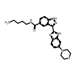 NCCCCNC(=O)c1ccc2[nH]nc(-c3nc4ccc(N5CCOCC5)cc4[nH]3)c2c1